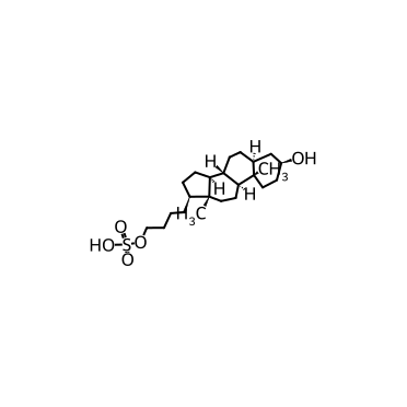 C[C@]12CC[C@H](O)C[C@@H]1CC[C@@H]1[C@@H]2CC[C@]2(C)[C@@H](CCCCOS(=O)(=O)O)CC[C@@H]12